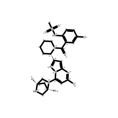 CS(=O)(=O)Nc1ccc(Cl)cc1C(=O)N1CCCC[C@H]1c1cc2nc(Cl)cc(N3C[C@H]4C[C@@H]3CN4)n2n1